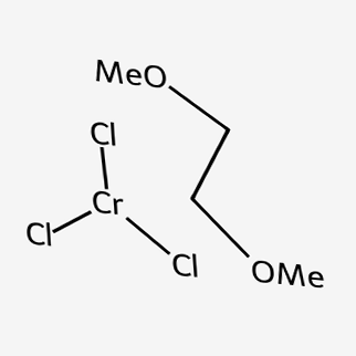 COCCOC.[Cl][Cr]([Cl])[Cl]